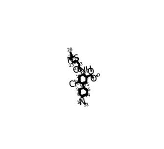 COC(=O)c1cc(-c2ccc(N(C)C)cc2)c(Cl)cc1NC(=O)Cc1cnc(C)s1